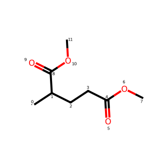 [CH2]C(CCC(=O)OC)C(=O)OC